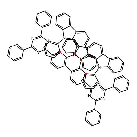 c1ccc(-c2nc(-c3ccccc3)nc(-c3ccc(-c4ccc(-c5nc(-c6ccccc6)nc(-c6ccccc6)n5)cc4-n4c5ccccc5c5ccc6c7ccccc7n(-c7ccccc7)c6c54)c(-n4c5ccccc5c5ccc6c7ccccc7n(-c7ccccc7)c6c54)c3)n2)cc1